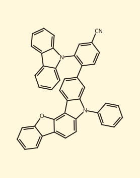 N#Cc1ccc(-c2ccc3c4c5oc6ccccc6c5ccc4n(-c4ccccc4)c3c2)c(-n2c3ccccc3c3ccccc32)c1